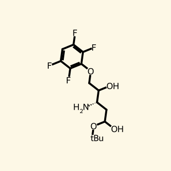 CC(C)(C)OC(O)C[C@H](N)C(O)COc1c(F)c(F)cc(F)c1F